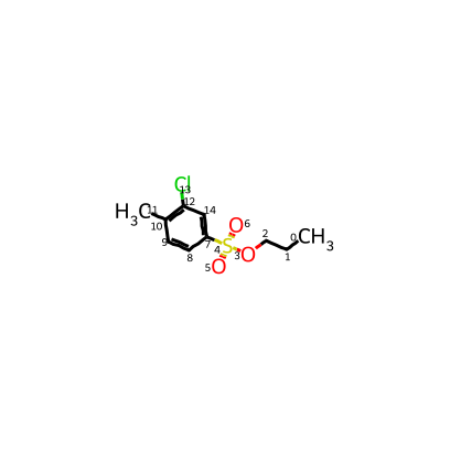 CCCOS(=O)(=O)c1ccc(C)c(Cl)c1